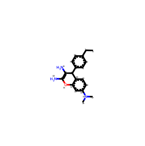 CCc1ccc(C2C(N)=C(N)Oc3cc(N(C)C)ccc32)cc1